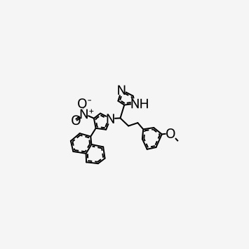 COc1cccc(CCC(c2cnc[nH]2)n2cc(-c3cccc4ccccc34)c([N+](=O)[O-])c2)c1